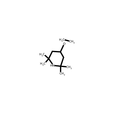 CC.CC1(C)CC([O])CC(C)(C)N1